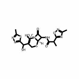 Cc1noc(C(C)C(=O)NC2C(=O)N3C(C(=O)O)=C(C(S)c4nnc(C)s4)CS[C@H]23)n1